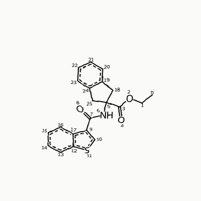 CCOC(=O)C1(NC(=O)c2csc3ccccc23)Cc2ccccc2C1